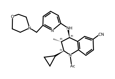 CC(=O)N1c2ccc(C#N)cc2[C@H](Nc2cccc(CN3CCOCC3)n2)[C@@H](C)[C@@H]1C1CC1